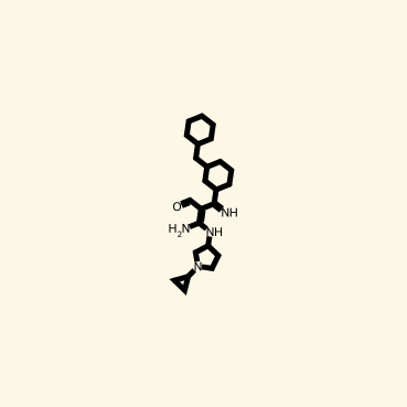 N=C(/C(C=O)=C(/N)NC1CCN(C2CC2)C1)C1CCCC(CC2CCCCC2)C1